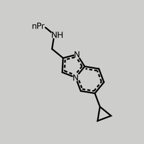 CCCNCc1cn2cc(C3CC3)ccc2n1